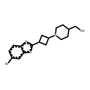 OCC1CCN(C2CC(c3nc4ccc(Br)cc4s3)C2)CC1